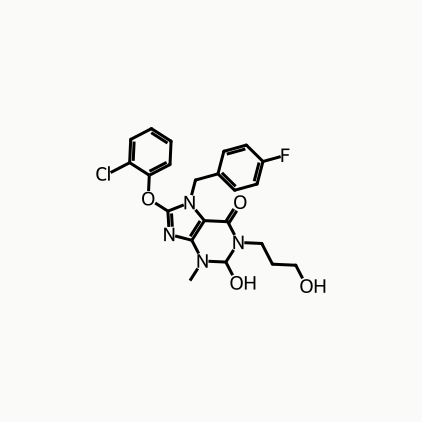 CN1c2nc(Oc3ccccc3Cl)n(Cc3ccc(F)cc3)c2C(=O)N(CCCO)C1O